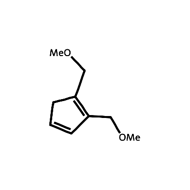 COCC1=C(COC)CC=C1